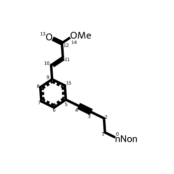 CCCCCCCCCCCC#Cc1cccc(C=CC(=O)OC)c1